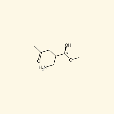 CO[C@H](O)C(CN)CC(C)=O